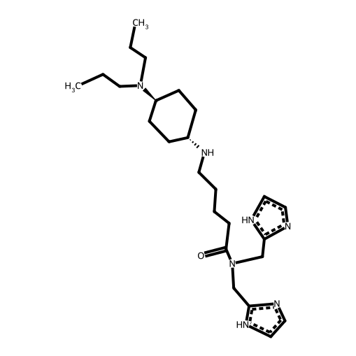 CCCN(CCC)[C@H]1CC[C@H](NCCCCC(=O)N(Cc2ncc[nH]2)Cc2ncc[nH]2)CC1